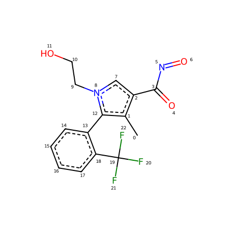 Cc1c(C(=O)N=O)cn(CCO)c1-c1ccccc1C(F)(F)F